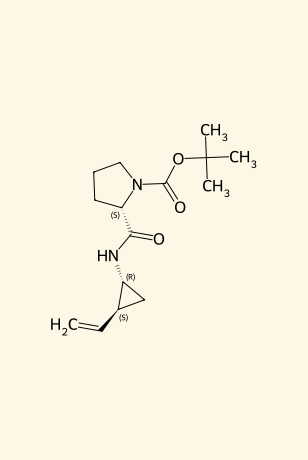 C=C[C@@H]1C[C@H]1NC(=O)[C@@H]1CCCN1C(=O)OC(C)(C)C